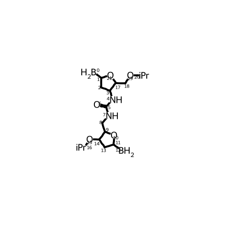 BC1CC(NC(=O)NCC2OC(B)CC2OC(C)C)C(COC(C)C)O1